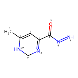 CC1=CC(C(=O)N=N)=NCN1